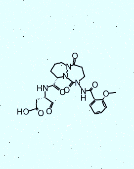 COc1ccccc1C(=O)NN1CCC(=O)N2CCC[C@@H](C(=O)N[C@H](C=O)CC(=O)O)N2C1=O